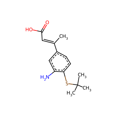 CC(=CC(=O)O)c1ccc(SC(C)(C)C)c(N)c1